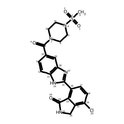 CS(=O)(=O)N1CCN(C(=O)c2ccc3[nH]c(-c4ccc(Cl)c5c4C(=O)NC5)nc3c2)CC1